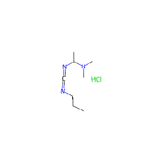 CCCN=C=NC(C)N(C)C.Cl